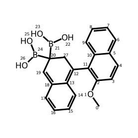 COc1ccc2ccccc2c1C1=c2ccccc2=CC(B(O)O)(B(O)O)C1